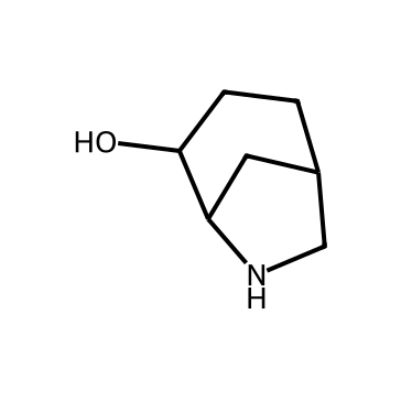 OC1CCC2CNC1C2